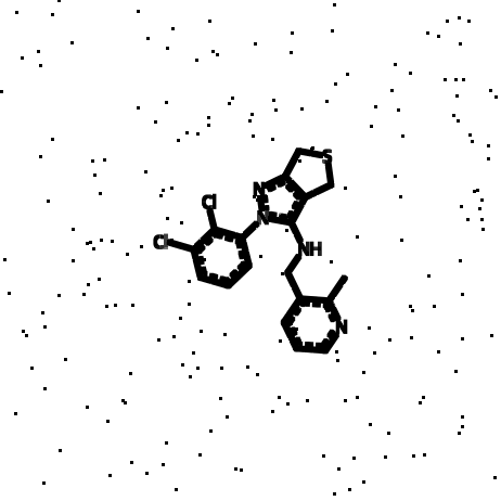 Cc1ncccc1CNc1c2c(nn1-c1cccc(Cl)c1Cl)CSC2